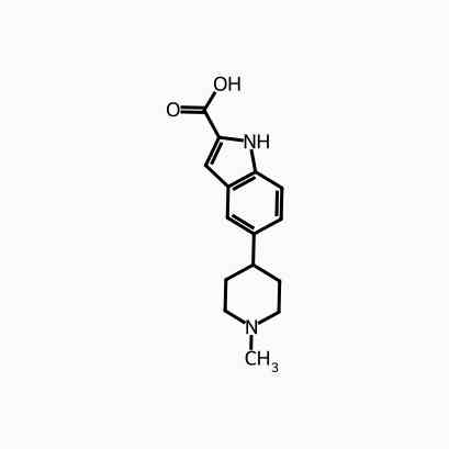 CN1CCC(c2ccc3[nH]c(C(=O)O)cc3c2)CC1